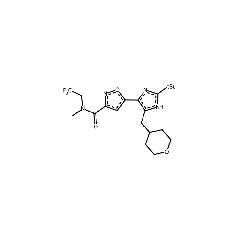 CN(CC(F)(F)F)C(=O)c1cc(-c2nc(C(C)(C)C)[nH]c2CC2CCOCC2)on1